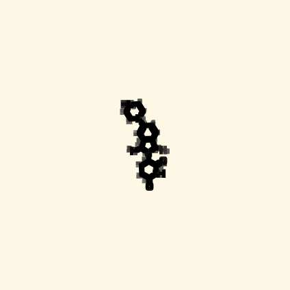 [2H]C1c2ccc(N3CCNCC3)cc2C([2H])N1C1CCC(=O)NC1=O